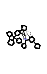 Nc1ccc(-c2ccccc2)cc1/C(=N\Cn1c2ccccc2c2ccc(C3(c4ccccc4)c4ccccc4-c4ccccc43)cc21)c1ccccc1